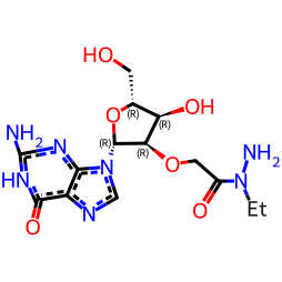 CCN(N)C(=O)CO[C@@H]1[C@H](O)[C@@H](CO)O[C@H]1n1cnc2c(=O)[nH]c(N)nc21